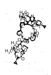 CO[C@@H](C)c1ncc(N2CCN(C3CC3)CC2)cc1-c1c2c3cc(ccc3n1CC(F)(F)F)C1=CCCN(C1)C[C@H](NC(=O)[C@H](C(C)C)N1CCOC3(CN(C(=O)[C@H]4[C@@H](C5CC5)N4CC(=O)N(C)C)C3)C1)C(=O)N1CCC[C@H](N1)C(=O)OCC(C)(C)C2